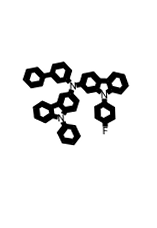 Fc1ccc(-n2c3ccccc3c3ccc(N(c4cccc(-c5ccccc5)c4)c4ccc5c(c4)c4ccccc4n5-c4ccccc4)cc32)cc1